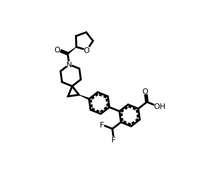 O=C(O)c1ccc(C(F)F)c(-c2ccc([C@H]3CC34CCN(C(=O)[C@H]3CCCO3)CC4)cc2)c1